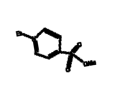 CC[n+]1ccc(S(=O)(=O)OC)cc1